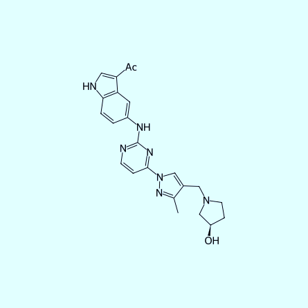 CC(=O)c1c[nH]c2ccc(Nc3nccc(-n4cc(CN5CC[C@@H](O)C5)c(C)n4)n3)cc12